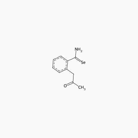 CC(=O)Cc1ccccc1C(N)=[Se]